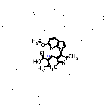 CC/C(=C\c1c(C)nn(C)c1-n1ccc2ccc(OC)nc21)C(=O)O